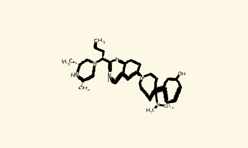 CCC[C@@H](c1ncc2cc(N3CCC(c4cccc(O)c4)(N(C)C)CC3)ccc2n1)N1C[C@@H](C)N[C@@H](C)C1